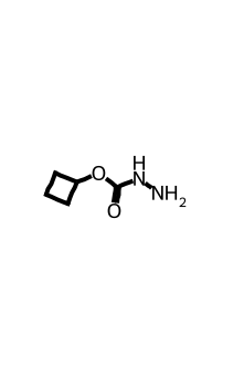 NNC(=O)OC1CCC1